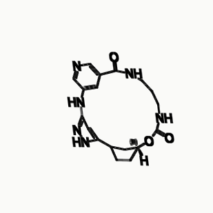 O=C1NCCCNC(=O)c2cncc(c2)Nc2cc([nH]n2)C2CC[C@H](C2)O1